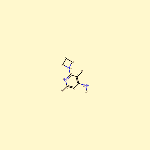 CNc1cc(C)nc(N2CCC2)c1C